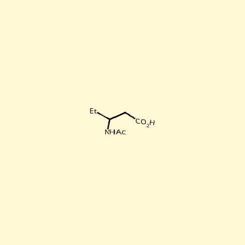 CCC(CC(=O)O)NC(C)=O